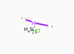 Cl.I[IH]I.[SiH4]